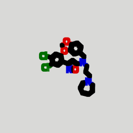 Clc1ccc(-c2cc(N(CCCN3C=CC=CC=C3)Cc3ccc4c(c3)OCO4)on2)cc1Cl